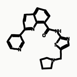 O=C(Nc1ncc(CN2CCCC2)s1)c1cccc2ccc(-c3cccnc3)nc12